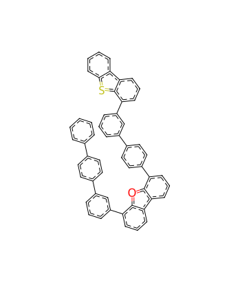 c1ccc(-c2ccc(-c3cccc(-c4cccc5c4oc4c(-c6ccc(-c7cccc(-c8cccc9c8sc8ccccc89)c7)cc6)cccc45)c3)cc2)cc1